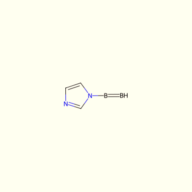 B=Bn1ccnc1